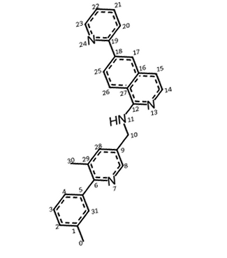 Cc1cccc(-c2ncc(CNc3nccc4cc(-c5ccccn5)ccc34)cc2C)c1